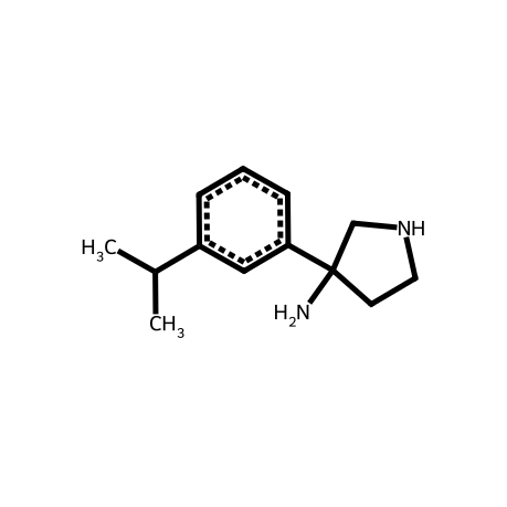 CC(C)c1cccc(C2(N)CCNC2)c1